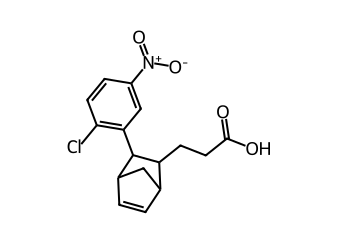 O=C(O)CCC1C2C=CC(C2)C1c1cc([N+](=O)[O-])ccc1Cl